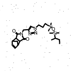 CCC(C)[Si](C)(C)O[Si](C)(C)CCCn1cc(CN2C(=O)C3C4C=CC(C4)C3C2=O)nn1